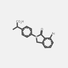 CC(=O)c1cccc2c1C(=O)N(c1ccc(C(C)C(=O)O)cc1)C2